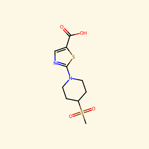 CS(=O)(=O)C1CCN(c2ncc(C(=O)O)s2)CC1